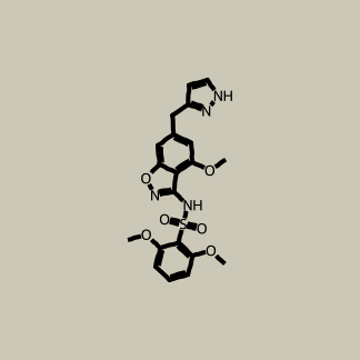 COc1cccc(OC)c1S(=O)(=O)Nc1noc2cc(Cc3cc[nH]n3)cc(OC)c12